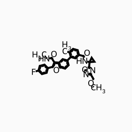 CNC(=O)c1c(-c2ccc(F)cc2)oc2ccc(-c3cc(C(=O)NC4(c5nc(COC)no5)CC4)ccc3C)cc12